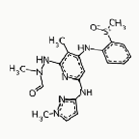 Cc1c(Nc2ccccc2[S+](C)[O-])cc(Nc2ccn(C)n2)nc1NN(C)C=O